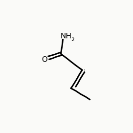 C/C=[C]/C(N)=O